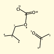 CC(C)=O.CC(C)COC(=O)Cl